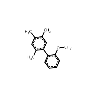 [CH2]Oc1ccccc1-c1cc(C)c(C)cc1C